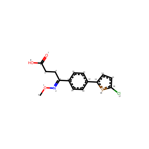 CON=C(CCC(=O)O)c1ccc(-c2ccc(Cl)s2)cc1